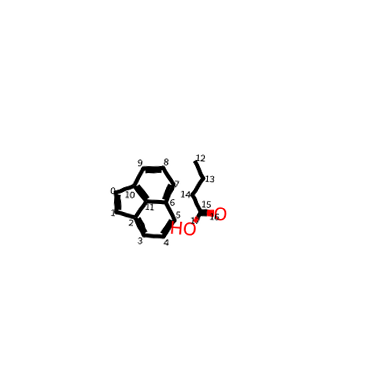 C1=Cc2cccc3cccc1c23.CCCC(=O)O